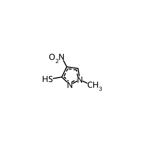 Cn1cc([N+](=O)[O-])c(S)n1